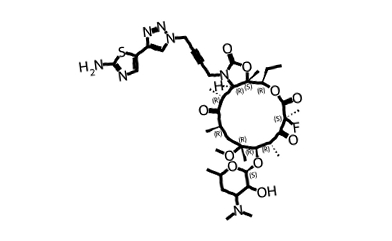 CC[C@H]1OC(=O)[C@@](C)(F)C(=O)[C@H](C)[C@@H](O[C@@H]2OC(C)CC(N(C)C)C2O)[C@](C)(OC)C[C@@H](C)C(=O)[C@H](C)[C@H]2N(CC#CCn3cc(-c4cnc(N)s4)nn3)C(=O)O[C@]12C